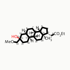 CCOC(=O)C[C@H]1CC[C@H]2[C@@H]3CC[C@@H]4C[C@@](O)(COC)CC[C@@H]4[C@H]3CC[C@]12C